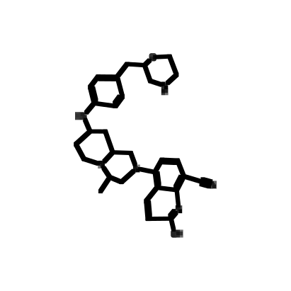 CC1CN(c2ccc(C#N)c3nc(O)ccc23)CC2CC(Nc3ccc(CC4CNCCO4)cc3)CCN12